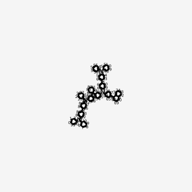 c1ccc(N(c2ccccc2)c2ccc(-c3ccc(N(c4ccccc4)c4cccc(C5(c6cccc(N(c7ccc(-c8ccc(N(c9ccccc9)c9ccccc9)cc8)cc7)c7ccc(-c8cccc9ccccc89)cc7)c6)CCCCC5)c4)cc3)cc2)cc1